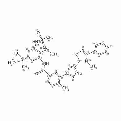 COc1c(NC(=O)c2ccc(C)c(-n3cc(C4CN=C(c5ccncc5)N4C)nn3)c2)cc(C(C)(C)C)cc1NS(C)(=O)=O